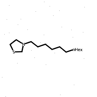 CCCCCCCCCCCCN1CCSC1